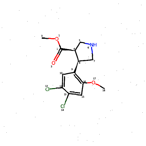 COC(=O)[C@H]1CNC[C@H]1c1cc(Cl)c(Cl)cc1OC